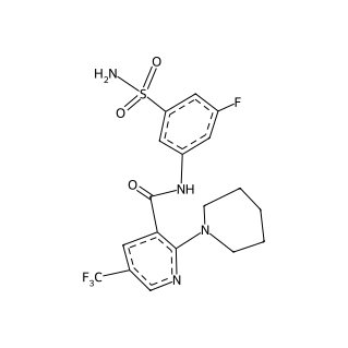 NS(=O)(=O)c1cc(F)cc(NC(=O)c2cc(C(F)(F)F)cnc2N2CCCCC2)c1